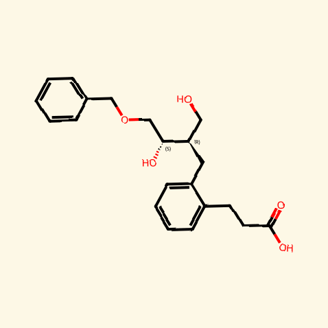 O=C(O)CCc1ccccc1C[C@H](CO)[C@H](O)COCc1ccccc1